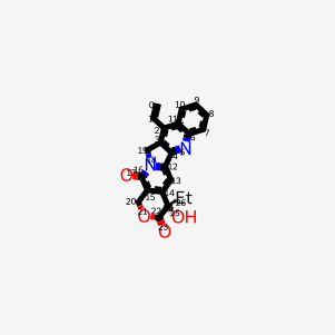 C=Cc1c2c(nc3ccccc13)-c1cc3c(c(=O)n1C2)COC(=O)[C@]3(O)CC